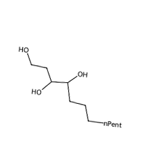 CCCCCCCCC(O)C(O)CCO